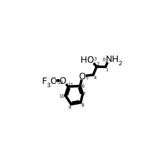 NCC(O)COc1ccccc1OC(F)(F)F